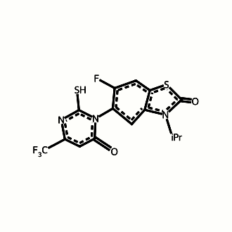 CC(C)n1c(=O)sc2cc(F)c(-n3c(S)nc(C(F)(F)F)cc3=O)cc21